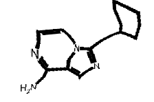 Nc1nccn2c(C3CCC3)ncc12